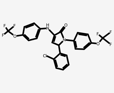 O=C1C(Nc2ccc(OC(F)(F)F)cc2)=CC(c2ccccc2Cl)N1c1ccc(OC(F)(F)F)cc1